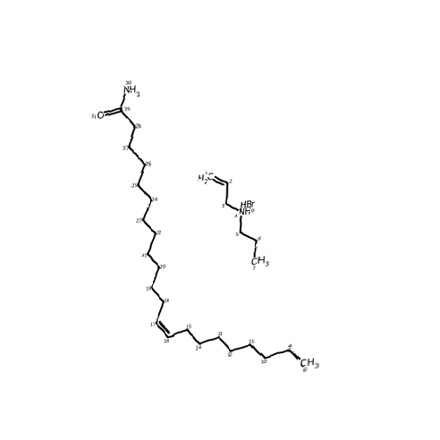 Br.C=CCNCCC.CCCCCCCC/C=C\CCCCCCCCCCCC(N)=O